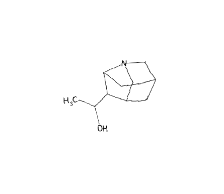 CC(O)C1C2CC3CC1N(C3)C2